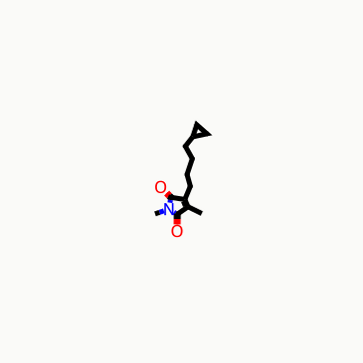 CC1=C(CCCCC2CC2)C(=O)N(C)C1=O